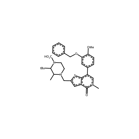 COc1ccc(-c2cn(C)c(=O)c3cc(CN4CCN(C(=O)O)C(C(C)(C)C)C4C)sc23)cc1OCc1ccccc1